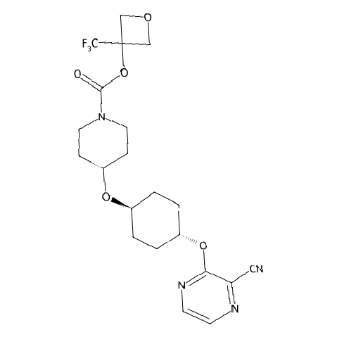 N#Cc1nccnc1O[C@H]1CC[C@H](OC2CCN(C(=O)OC3(C(F)(F)F)COC3)CC2)CC1